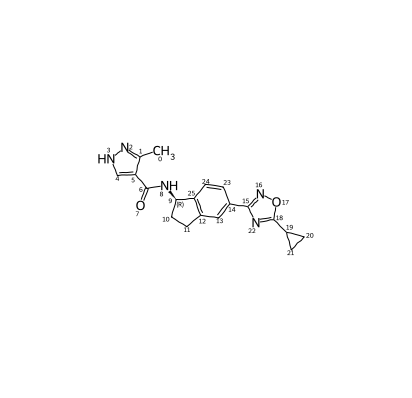 Cc1n[nH]cc1C(=O)N[C@@H]1CCc2cc(-c3noc(C4CC4)n3)ccc21